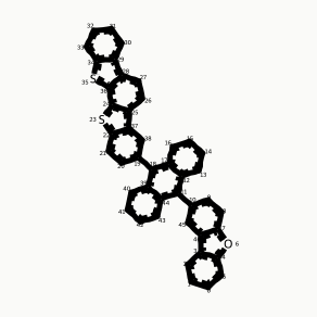 c1ccc2c(c1)oc1ccc(-c3c4ccccc4c(-c4ccc5sc6c(ccc7c8ccccc8sc76)c5c4)c4ccccc34)cc12